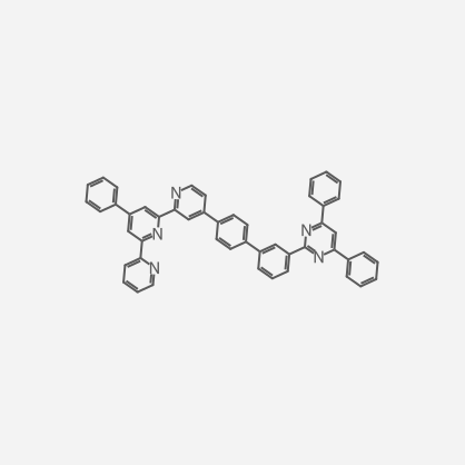 c1ccc(-c2cc(-c3ccccn3)nc(-c3cc(-c4ccc(-c5cccc(-c6nc(-c7ccccc7)cc(-c7ccccc7)n6)c5)cc4)ccn3)c2)cc1